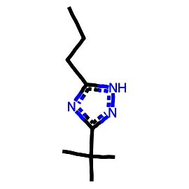 CCCc1nc(C(C)(C)C)n[nH]1